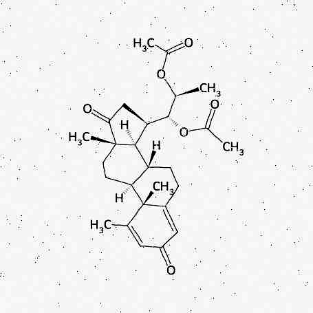 CC(=O)O[C@H]([C@@H]1CC(=O)[C@@]2(C)CC[C@H]3[C@@H](CCC4=CC(=O)C=C(C)[C@@]43C)[C@H]12)[C@H](C)OC(C)=O